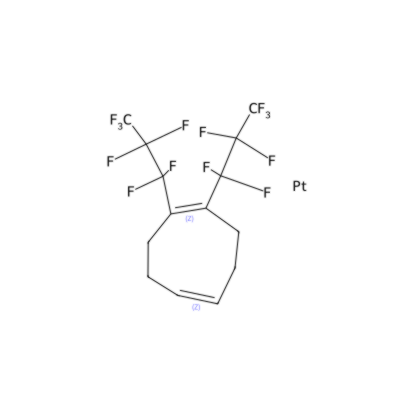 FC(F)(F)C(F)(F)C(F)(F)/C1=C(\C(F)(F)C(F)(F)C(F)(F)F)CC/C=C\CC1.[Pt]